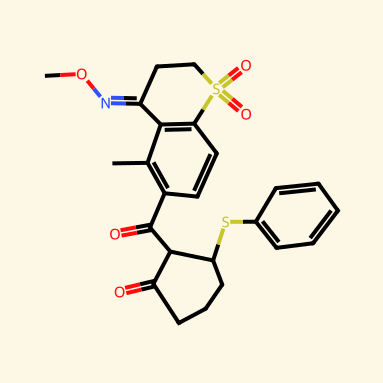 CON=C1CCS(=O)(=O)c2ccc(C(=O)C3C(=O)CCCC3Sc3ccccc3)c(C)c21